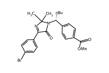 CCCC[C@H](c1ccc(C(=O)OC)cc1)N1C(=O)C(c2ccc(Br)cc2)=NC1(C)C